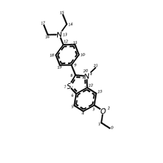 CCOc1ccc2sc(-c3ccc(N(CC)CC)cc3)[n+](C)c2c1